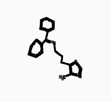 Cc1ncsc1CCC[15N]=C(c1ccccc1)c1ccccc1